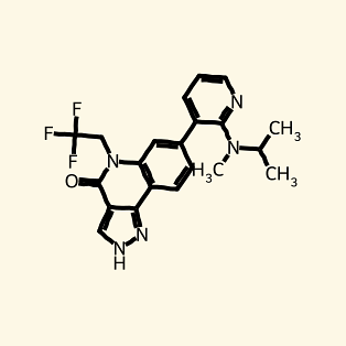 CC(C)N(C)c1ncccc1-c1ccc2c3n[nH]cc3c(=O)n(CC(F)(F)F)c2c1